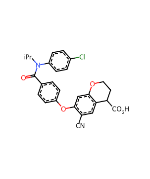 CC(C)N(C(=O)c1ccc(Oc2cc3c(cc2C#N)C(C(=O)O)CCO3)cc1)c1ccc(Cl)cc1